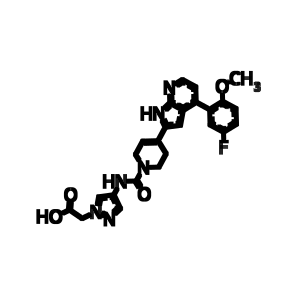 COc1ccc(F)cc1-c1ccnc2[nH]c(C3=CCN(C(=O)Nc4cnn(CC(=O)O)c4)CC3)cc12